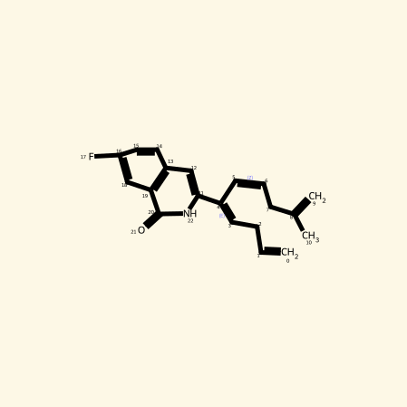 C=CC/C=C(\C=C/CC(=C)C)c1cc2ccc(F)cc2c(=O)[nH]1